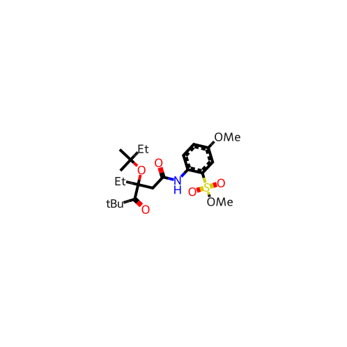 CCC(C)(C)OC(CC)(CC(=O)Nc1ccc(OC)cc1S(=O)(=O)OC)C(=O)C(C)(C)C